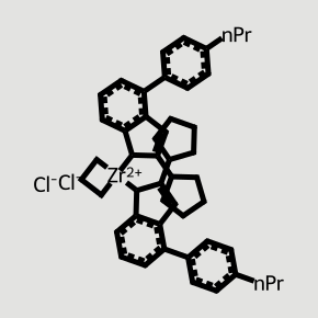 CCCc1ccc(-c2cccc3c2C=C(C2CCCC2)[CH]3[Zr+2]2([CH]3C(C4CCCC4)=Cc4c(-c5ccc(CCC)cc5)cccc43)[CH2]C[CH2]2)cc1.[Cl-].[Cl-]